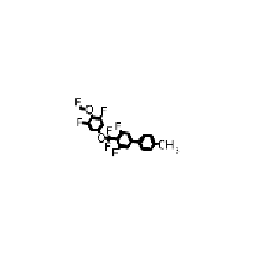 Cc1ccc(-c2cc(F)c(C(F)(F)Oc3cc(F)c(OCF)c(F)c3)c(F)c2)cc1